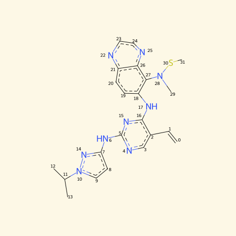 C=Cc1cnc(Nc2ccn(C(C)C)n2)nc1Nc1ccc2nccnc2c1N(C)SC